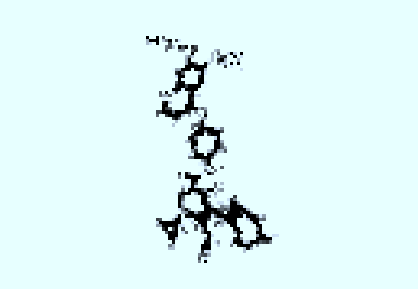 COc1cc2nccc(Oc3ccc(NC(=O)c4cn(C5CC5)c(C#N)c(-c5ccc(F)cc5)c4=O)cc3)c2cc1OC